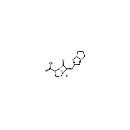 O=C(O)C1=CS[C@@H]2C(=Cc3cc4n(n3)CCC4)C(=O)N12